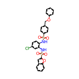 O=S(=O)(Nc1ccc(Cl)cc1NS(=O)(=O)c1cc2ccccc2o1)c1ccc(COc2ccccc2)cc1